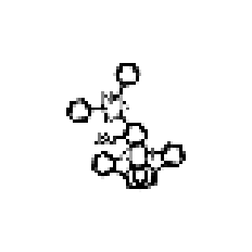 CC(C)(C)c1c(-c2nc(-c3ccccc3)nc(-c3ccccc3)n2)ccc(-n2c3ccccc3c3ccccc32)c1-n1c2ccccc2c2ccccc21